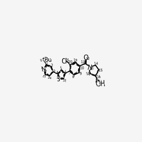 CC(C)(C)c1cc(-c2cc(-c3ccc(C(=O)N4CCC(O)C4)cc3Cl)cs2)ccn1